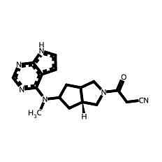 CN(c1ncnc2[nH]ccc12)C1CC2CN(C(=O)CC#N)C[C@@H]2C1